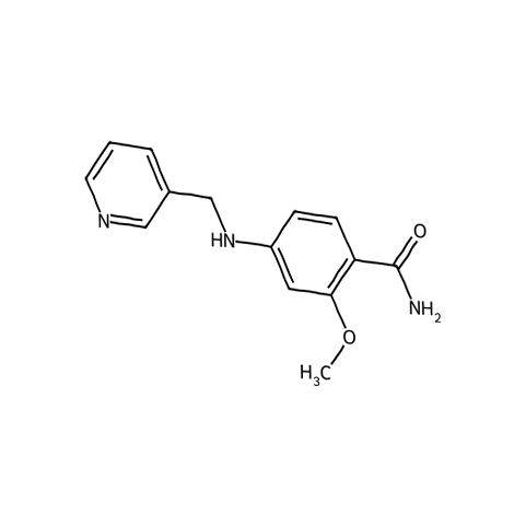 COc1cc(NCc2cccnc2)ccc1C(N)=O